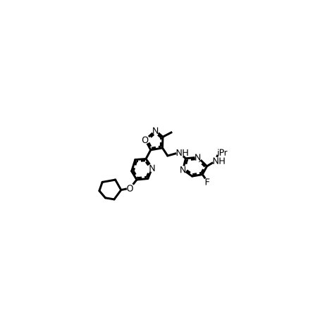 Cc1noc(-c2ccc(OC3CCCCC3)cn2)c1CNc1ncc(F)c(NC(C)C)n1